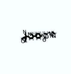 N#CC1(c2ccc(-c3ccc(N4C[C@H](Cn5ccnn5)OC4=O)cc3)cn2)C2COCC21